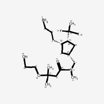 BCCC[C@H]1C[C@@H](CN(C)C(=O)CC(C)(C)OCCO)C[C@H]1C(C)(F)I